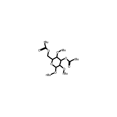 CCCCOC1OC(COC(=O)C(C)(C)C)C(OCCCC)C(OC(=O)C(C)(C)C)C1OCCCC